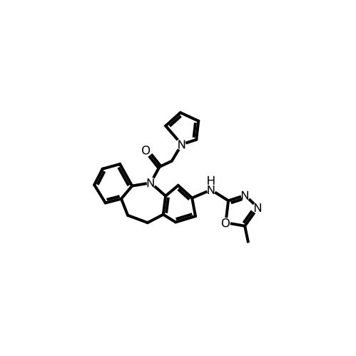 Cc1nnc(Nc2ccc3c(c2)N(C(=O)Cn2cccc2)c2ccccc2CC3)o1